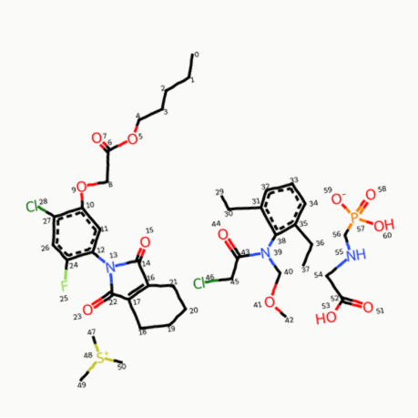 CCCCCOC(=O)COc1cc(N2C(=O)C3=C(CCCC3)C2=O)c(F)cc1Cl.CCc1cccc(CC)c1N(COC)C(=O)CCl.C[S+](C)C.O=C(O)CNCP(=O)([O-])O